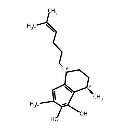 CC(C)=CCCC[C@@H]1CC[C@@H](C)c2c1cc(C)c(O)c2O